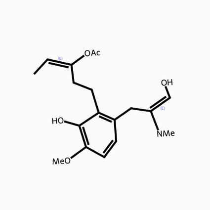 C/C=C(\CCc1c(C/C(=C\O)NC)ccc(OC)c1O)OC(C)=O